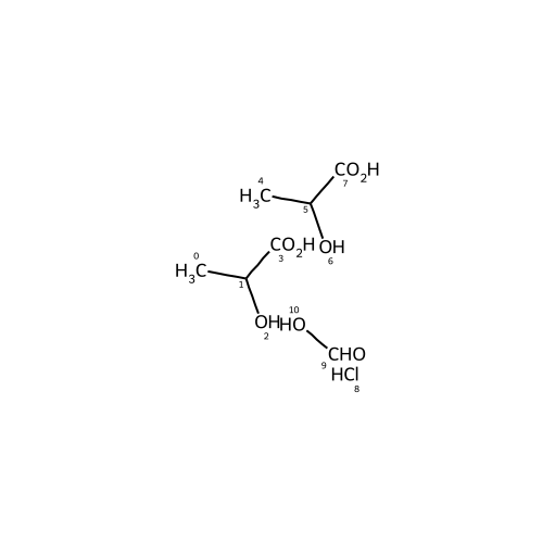 CC(O)C(=O)O.CC(O)C(=O)O.Cl.O=CO